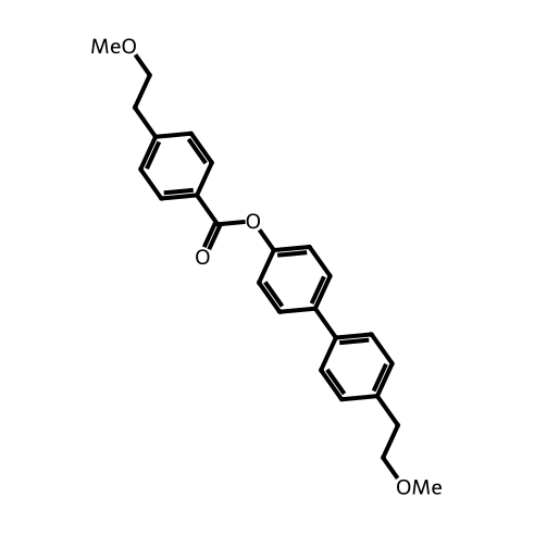 COCCc1ccc(C(=O)Oc2ccc(-c3ccc(CCOC)cc3)cc2)cc1